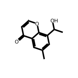 Cc1cc(C(C)O)c2o[c]cc(=O)c2c1